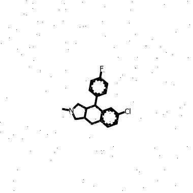 CN1CC2Cc3ccc(Cl)cc3C(c3ccc(F)cc3)C2C1